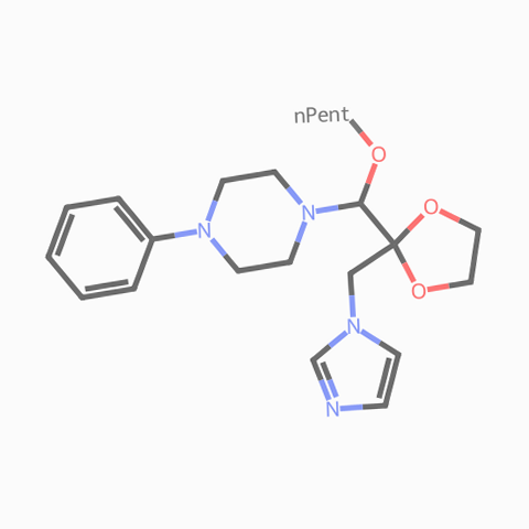 CCCCCOC(N1CCN(c2ccccc2)CC1)C1(Cn2ccnc2)OCCO1